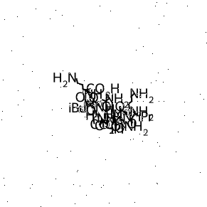 CC[C@H](C)[C@H](NC(=O)[C@H](CC(N)=O)NC(=O)[C@H](CC(=O)O)NC(=O)[C@H](CC(C)C)NC(=O)[C@H](CC(N)=O)NC(=O)[C@H](CCCCN)NC(=O)[C@@H](N)C(C)C)C(=O)N[C@@H](CCCCN)C(=O)O